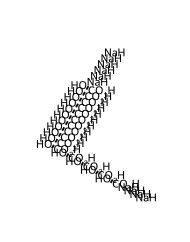 O=C(O)O.O=C(O)O.O=C(O)O.O=C(O)O.O=C(O)O.O=C(O)O.O=C(O)O.O=C(O)O.O=C(O)O.O=C(O)O.O=C(O)O.O=C(O)O.O=C(O)O.O=C(O)O.O=C(O)O.[NaH].[NaH].[NaH].[NaH].[NaH].[NaH].[NaH].[NaH].[NaH].[NaH]